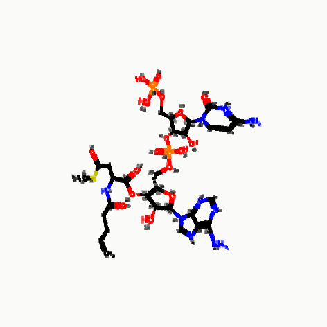 C=CCCC(=O)NC(CC(=O)SC)C(=O)O[C@H]1[C@@H](O)[C@H](n2cnc3c(N)ncnc32)O[C@H]1COP(=O)(O)O[C@H]1[C@@H](O)[C@H](n2ccc(N)nc2=O)O[C@@H]1COP(=O)(O)O